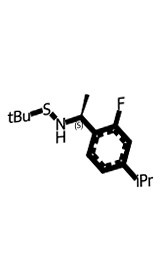 CC(C)c1ccc([C@H](C)NSC(C)(C)C)c(F)c1